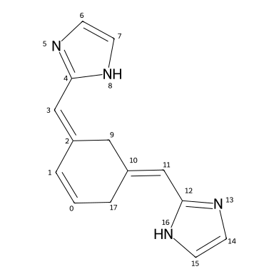 C1=CC(=Cc2ncc[nH]2)CC(=Cc2ncc[nH]2)C1